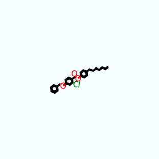 CCCCCCCc1ccc(OC(=O)c2ccc(OCc3ccccc3)cc2Cl)cc1